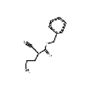 N#CC(CCN)C(=O)OCc1ccccc1